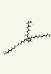 CCCCCCCCCCCCC[n+]1ccn(CCCCCCCCCC)c1CCCCCCCC